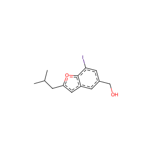 CC(C)Cc1cc2cc(CO)cc(I)c2o1